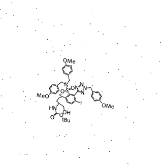 COc1ccc(CN(Cc2ccc(OC)cc2)S(=O)(=O)c2c(SCC(CO)NC(=O)OC(C)(C)C)ccc(I)c2-c2nnn(Cc3ccc(OC)cc3)n2)cc1